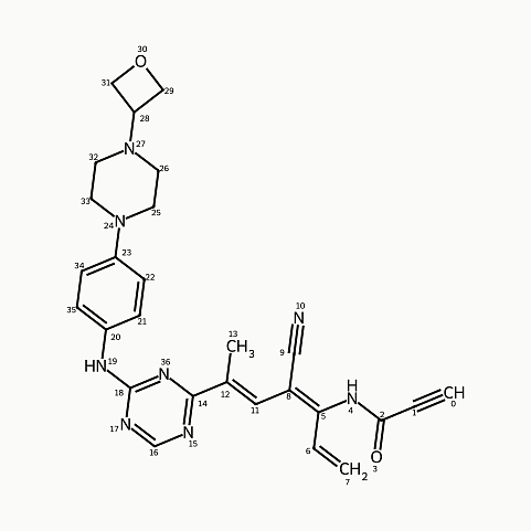 C#CC(=O)N/C(C=C)=C(C#N)/C=C(\C)c1ncnc(Nc2ccc(N3CCN(C4COC4)CC3)cc2)n1